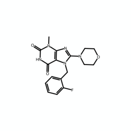 Cn1c(=O)[nH]c(=O)c2c1nc(N1CCOCC1)n2Cc1ccccc1F